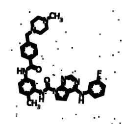 Cc1ccc(NC(=O)c2ccc(CN3CCN(C)CC3)cc2)cc1NC(=O)n1ccc2c(Nc3cccc(F)c3)ncnc21